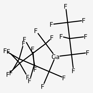 FC(F)(F)C(F)(F)[C](F)(F)[Ga]([C](F)(F)C(F)(F)C(F)(F)F)[C](F)(F)C(F)(F)C(F)(F)F